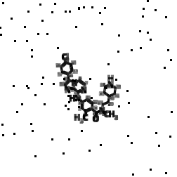 Cc1cc(Nc2nccn3c(-c4ccc(Cl)cc4)cnc23)ccc1C(=O)N(C)CCC1CCNCC1